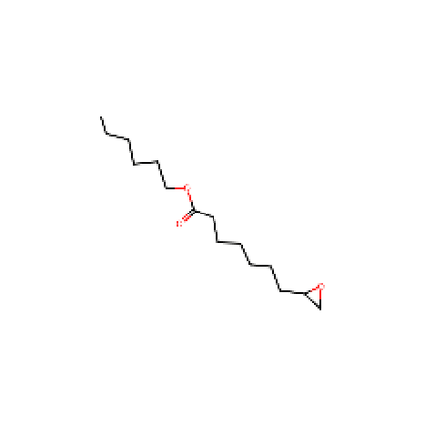 CCCCCCOC(=O)CCCCCCC1CO1